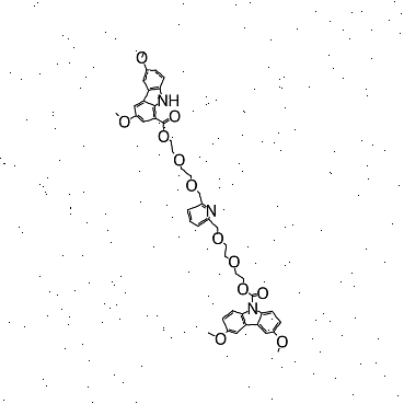 COc1ccc2[nH]c3c(C(=O)OCCOCCOCc4cccc(COCCOCCOC(=O)n5c6ccc(OC)cc6c6cc(OC)ccc65)n4)cc(OC)cc3c2c1